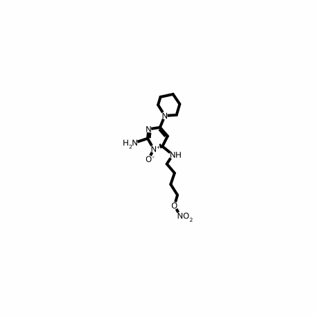 Nc1nc(N2CCCCC2)cc(NCCCCO[N+](=O)[O-])[n+]1[O-]